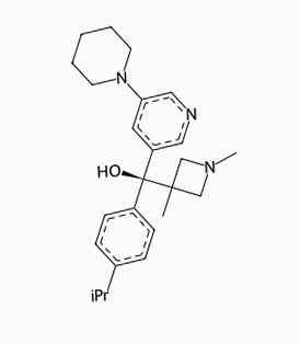 CC(C)c1ccc([C@](O)(c2cncc(N3CCCCC3)c2)C2(C)CN(C)C2)cc1